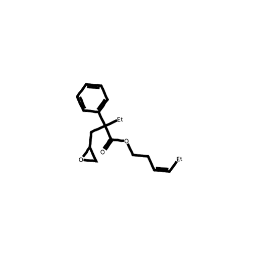 CC/C=C\CCOC(=O)C(CC)(CC1CO1)c1ccccc1